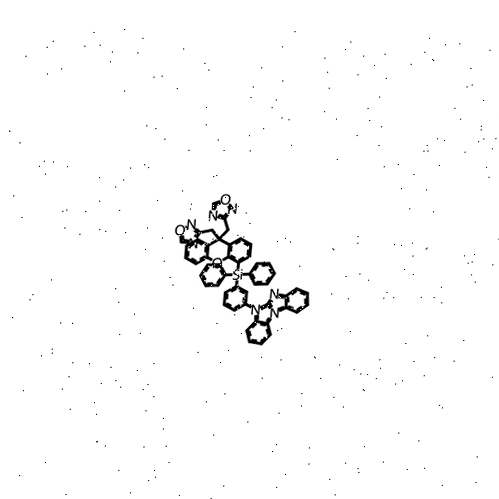 c1ccc([Si](c2ccccc2)(c2cccc(-n3c4ccccc4n4c5ccccc5nc34)c2)c2cccc3c2Oc2ccccc2C3(Cc2ncon2)Cc2ncon2)cc1